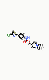 C[N+]1(C)CCC(COC(=O)Nc2ccc(-c3nc(Cl)cs3)cc2)CC1